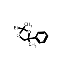 CCC1(C)OCC(C)(c2ccccc2)O1